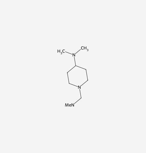 CNCN1CCC(N(C)C)CC1